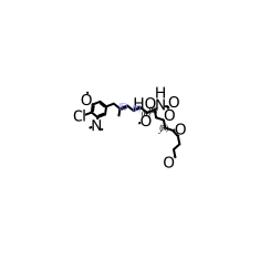 COc1cc(C/C(C)=C/C=C/[C@@H](OC)[C@@]2(O)CC([C@@H](C)C3OC3CCC=O)OC(=O)N2)cc(N(C)C)c1Cl